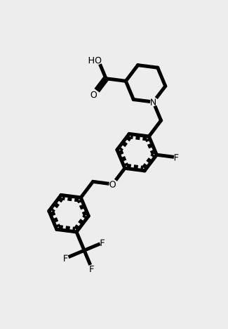 O=C(O)C1CCCN(Cc2ccc(OCc3cccc(C(F)(F)F)c3)cc2F)C1